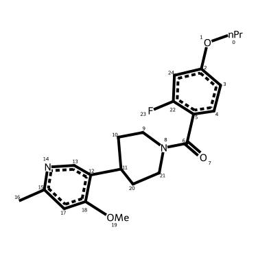 CCCOc1ccc(C(=O)N2CCC(c3cnc(C)cc3OC)CC2)c(F)c1